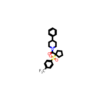 O=C(N1CCC(c2ccccc2)CC1)C1(S(=O)(=O)c2ccc(C(F)(F)F)cc2)CCCC1